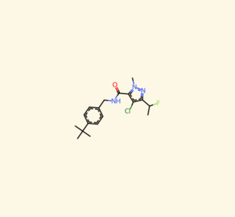 CC(F)c1nn(C)c(C(=O)NCc2ccc(C(C)(C)C)cc2)c1Cl